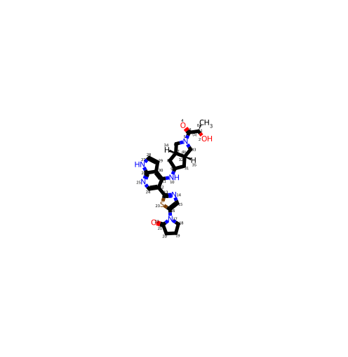 C[C@H](O)C(=O)N1C[C@H]2CC(Nc3c(-c4ncc(N5CCCC5=O)s4)cnc4[nH]ccc34)C[C@H]2C1